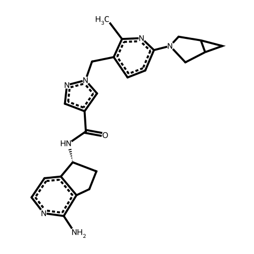 Cc1nc(N2CC3CC3C2)ccc1Cn1cc(C(=O)N[C@@H]2CCc3c2ccnc3N)cn1